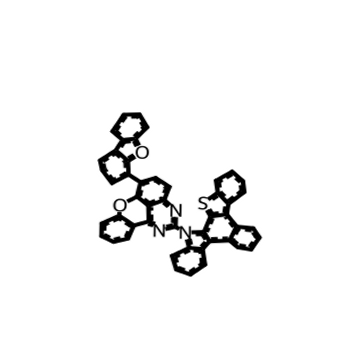 c1ccc2c(c1)Oc1c(-c3cccc4c3oc3ccccc34)ccc3nc(-n4c5ccccc5c5c6ccccc6c6c7ccccc7sc6c54)nc-2c13